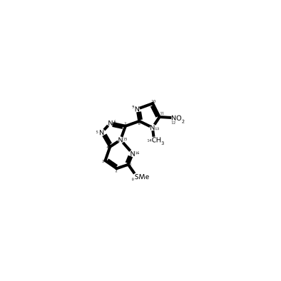 CSc1ccc2nnc(-c3ncc([N+](=O)[O-])n3C)n2n1